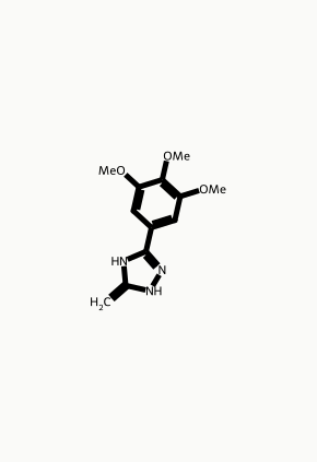 C=C1NN=C(c2cc(OC)c(OC)c(OC)c2)N1